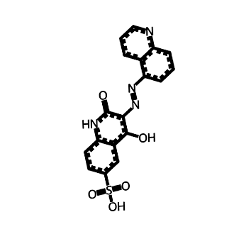 O=c1[nH]c2ccc(S(=O)(=O)O)cc2c(O)c1/N=N/c1cccc2ncccc12